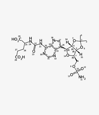 CC1(C)O[C@@H]2[C@H](O1)[C@@H](COS(N)(=O)=O)O[C@H]2n1cnc2c(NC(=O)NC(CCC(=O)O)C(=O)O)ncnc21